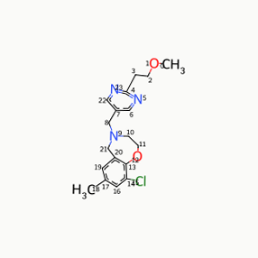 COCCc1ncc(CN2CCOc3c(Cl)cc(C)cc3C2)cn1